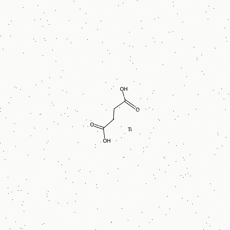 O=C(O)CCC(=O)O.[Ti]